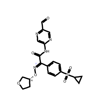 O=Cc1cnc(NC(=O)/C(=N/O[C@@H]2CCOC2)c2ccc(S(=O)(=O)C3CC3)cc2)cn1